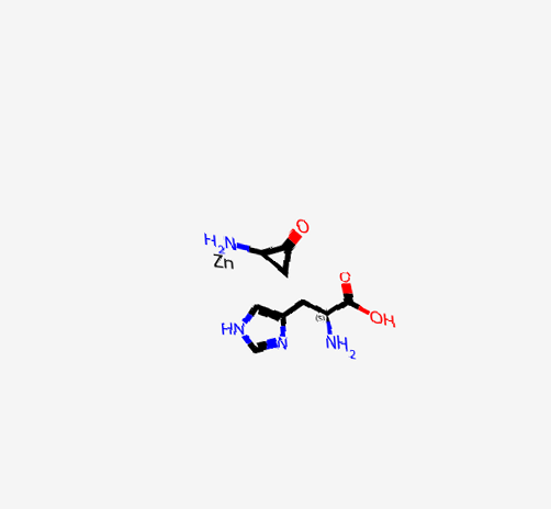 NC1CC1=O.N[C@@H](Cc1c[nH]cn1)C(=O)O.[Zn]